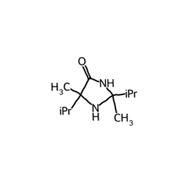 CC(C)C1(C)NC(=O)C(C)(C(C)C)N1